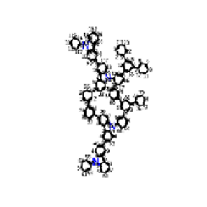 c1ccc(-c2cc(-c3ccccc3)cc(-c3cccc(-n4c5ccc(-c6cccc(-c7cccc(-c8ccc9c(c8)c8cc(-c%10ccc%11c(c%10)c%10ccccc%10n%11-c%10ccccc%10)ccc8n9-c8cccc(-c9cc(-c%10ccccc%10)cc(-c%10ccccc%10)c9)c8)c7)c6)cc5c5cc(-c6ccc7c(c6)c6ccccc6n7-c6ccccc6)ccc54)c3)c2)cc1